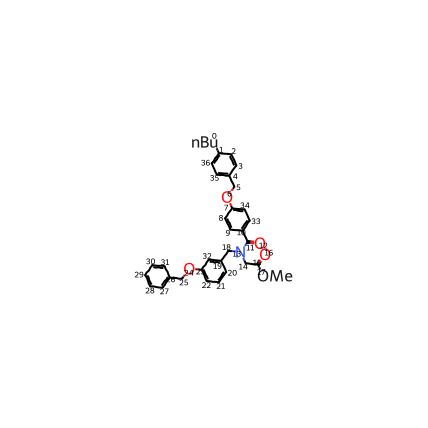 CCCCc1ccc(COc2ccc(C(=O)N(CC(=O)OC)Cc3cccc(OCc4ccccc4)c3)cc2)cc1